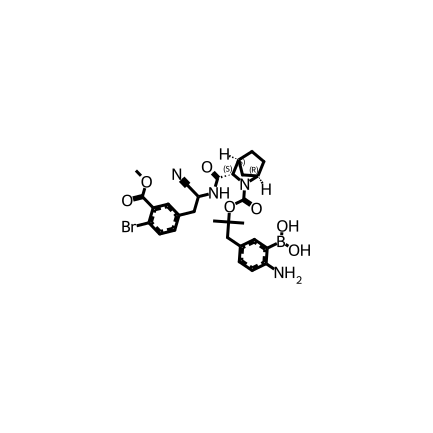 COC(=O)c1cc(CC(C#N)NC(=O)[C@@H]2[C@H]3CC[C@H](C3)N2C(=O)OC(C)(C)Cc2ccc(N)c(B(O)O)c2)ccc1Br